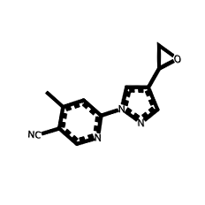 Cc1cc(-n2cc(C3CO3)cn2)ncc1C#N